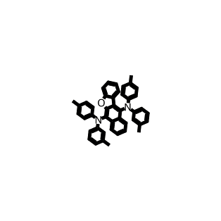 Cc1ccc(N(c2cccc(C)c2)c2c3ccccc3c(N(c3ccc(C)cc3)c3cccc(C)c3)c3c2oc2ccccc23)cc1